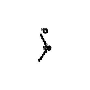 C1CCCNCC1.CCCCCCCCOC(=O)c1ccccc1C(=O)OCCCCCCCC